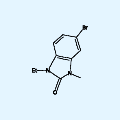 CCn1c(=O)n(C)c2cc(Br)ccc21